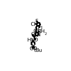 CC(C)(C)OC(=O)N1CCC(NC(=O)c2coc3c(OCCc4c(Cl)ccc(F)c4Cl)c(N)ncc23)CC1